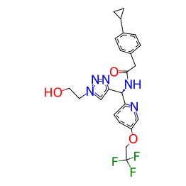 O=C(Cc1ccc(C2CC2)cc1)N[C@@H](c1ccc(OCC(F)(F)F)cn1)c1cn(CCO)nn1